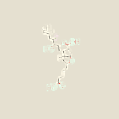 CCCCC(F)[C@H](O)/C=C/[C@@H]1[C@H](C(=O)O)CC2O[C@@H](CCCCC(=O)O)C[C@@H]21